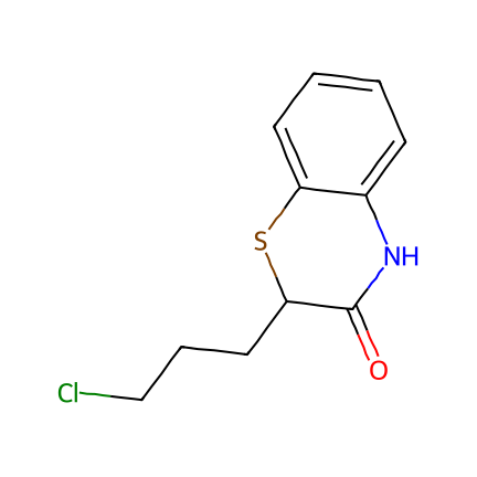 O=C1Nc2ccccc2SC1CCCCl